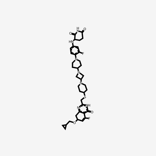 O=C1CCC(Nc2ccc(N3CCC(N4CC(N5CCC(SCc6nc7c(c(=O)[nH]6)C(F)=CC(OCC6CC6)C7)CC5)C4)CC3)c(F)c2)C(=O)N1